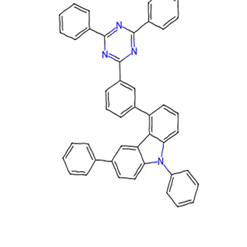 c1ccc(-c2ccc3c(c2)c2c(-c4cccc(-c5nc(-c6ccccc6)nc(-c6ccccc6)n5)c4)cccc2n3-c2ccccc2)cc1